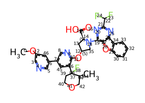 COc1cncc(-c2cnc(O[C@H]3C[C@@H](C(=O)O)N(c4nc(C(F)F)nc5c4oc4ccccc45)C3)c([C@@]3(F)CCOC[C@@H]3C)c2)c1